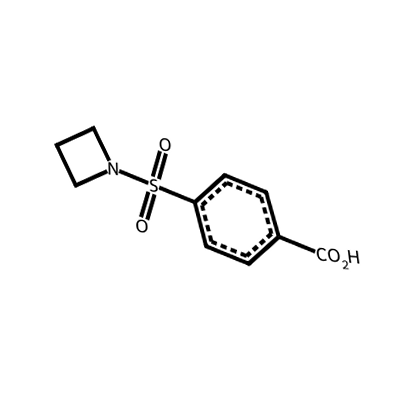 O=C(O)c1ccc(S(=O)(=O)N2CCC2)cc1